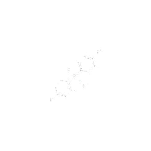 Fc1ccc([B-](F)(F)c2ccc(F)cc2)cc1.[K+]